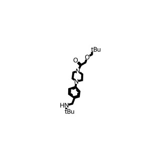 CC(C)(C)COCC(=O)N1CCN(c2ccc(CNC(C)(C)C)cc2)CC1